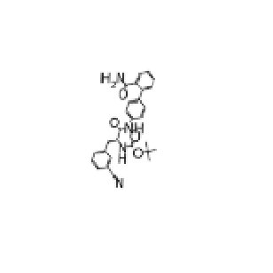 CC(C)(C)OC(=O)N[C@@H](Cc1cccc(C#N)c1)C(=O)Nc1ccc(-c2ccccc2C(N)=O)cc1